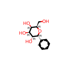 OC[C@H]1O[C@H](c2[c]cccc2)[C@H](O)[C@@H](O)[C@H]1O